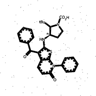 CC(C)(C)C1[C@H](Nc2sc3c(ccc(=O)n3-c3ccccc3)c2C(=O)c2ccccc2)CCN1C(=O)O